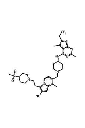 Cc1nc(NC2CCN(Cc3ccc4c(cc(C#N)n4CCN4CCN(S(C)(=O)=O)CC4)c3C)CC2)c2c(C)c(CC(F)(F)F)sc2n1